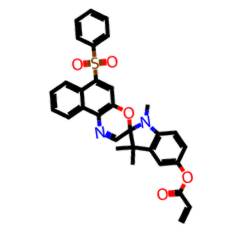 C=CC(=O)Oc1ccc2c(c1)C(C)(C)C1(C=Nc3c(cc(S(=O)(=O)c4ccccc4)c4ccccc34)O1)N2C